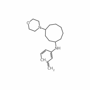 C=C/C=C(\C=C/C)NC1CCCCCC(N2CCOCC2)CC1